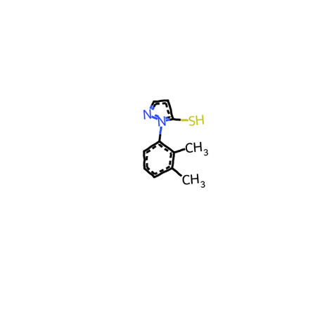 Cc1cccc(-n2nccc2S)c1C